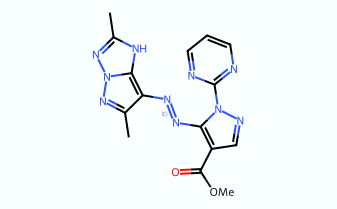 COC(=O)c1cnn(-c2ncccn2)c1/N=N/c1c(C)nn2nc(C)[nH]c12